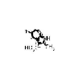 Cc1[nH]c2ncc(F)cc2c1C(=O)O